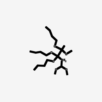 CCCCOC(C)(OC)C(OCCCC)(OCCCC)[SiH2]C(OC)OC